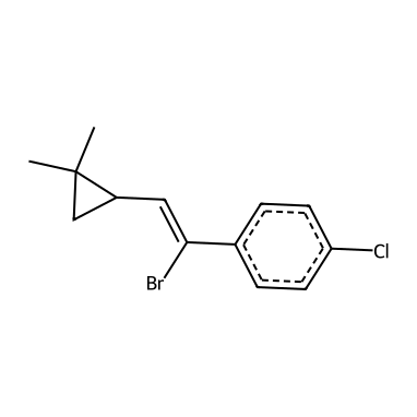 CC1(C)CC1C=C(Br)c1ccc(Cl)cc1